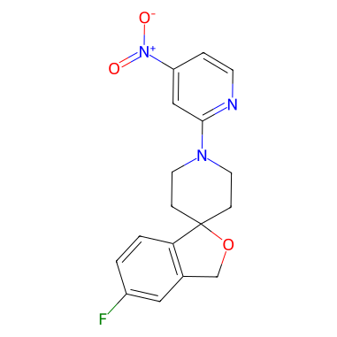 O=[N+]([O-])c1ccnc(N2CCC3(CC2)OCc2cc(F)ccc23)c1